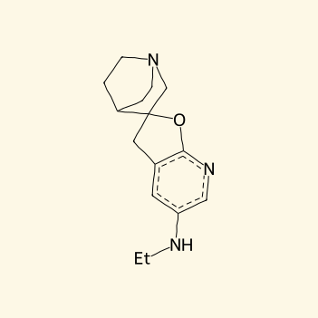 CCNc1cnc2c(c1)CC1(CN3CCC1CC3)O2